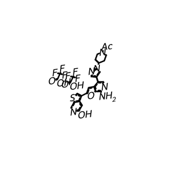 CC(=O)N1CCC(n2cc(-c3cnc(N)c4oc(-c5csc6cnc(O)cc56)cc34)cn2)CC1.O=C(O)C(F)(F)F.O=C(O)C(F)(F)F